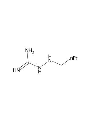 CCCCNNC(=N)N